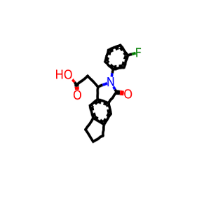 O=C(O)CC1c2cc3c(cc2C(=O)N1c1cccc(F)c1)CCC3